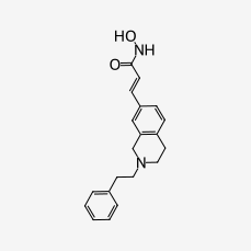 O=C(C=Cc1ccc2c(c1)CN(CCc1ccccc1)CC2)NO